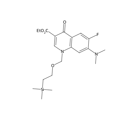 CCOC(=O)c1cn(COCC[Si](C)(C)C)c2cc(N(C)C)c(F)cc2c1=O